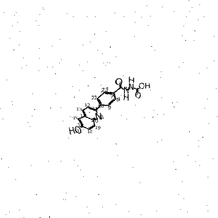 O=C(O)NNC(=O)c1ccc(-c2ccc3cc(O)ccc3n2)cc1